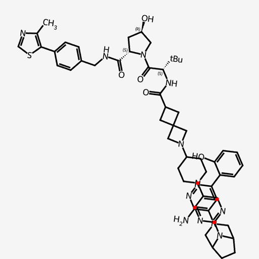 Cc1ncsc1-c1ccc(CNC(=O)[C@@H]2C[C@@H](O)CN2C(=O)[C@@H](NC(=O)C2CC3(C2)CN(C2CCN(c4cnc(N5C6CCC5CN(c5cc(-c7ccccc7O)nnc5N)C6)nc4)CC2)C3)C(C)(C)C)cc1